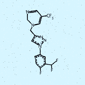 Fc1ccc(-n2cc(CN3C=C(C(F)(F)F)C=NC3)nn2)cc1C(F)F